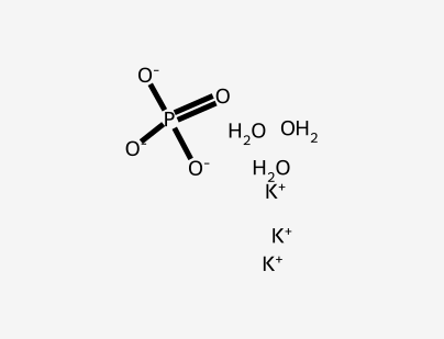 O.O.O.O=P([O-])([O-])[O-].[K+].[K+].[K+]